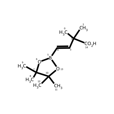 CC(C)(C=CB1OC(C)(C)C(C)(C)O1)C(=O)O